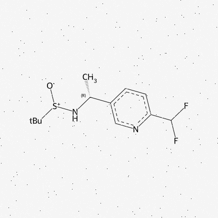 C[C@@H](N[S+]([O-])C(C)(C)C)c1ccc(C(F)F)nc1